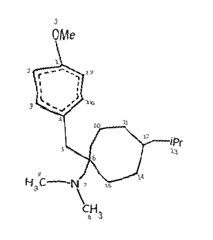 COc1ccc(CC2(N(C)C)CCC(C(C)C)CC2)cc1